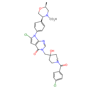 C[C@H]1CN(C(=O)O)[C@@H](c2ccc(-n3c(Cl)cc4c(=O)n(CC5(O)CCN(C(=O)c6ccc(Cl)cc6)CC5)cnc43)cc2)CO1